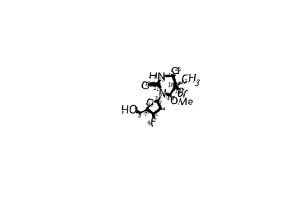 CO[C@H]1N([C@H]2CC(F)[C@@H](CO)O2)C(=O)NC(=O)[C@]1(C)Br